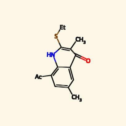 CCSc1[nH]c2c(C(C)=O)cc(C)cc2c(=O)c1C